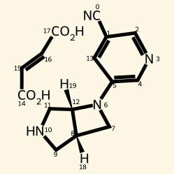 N#Cc1cncc(N2C[C@@H]3CNC[C@@H]32)c1.O=C(O)/C=C/C(=O)O